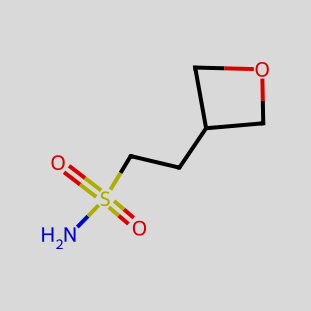 NS(=O)(=O)CCC1COC1